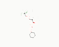 C=C(COCC(F)(F)S(=O)(=O)O)C(=O)OCOC1CCCCC1